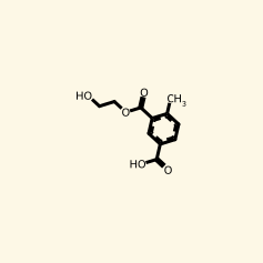 Cc1ccc(C(=O)O)cc1C(=O)OCCO